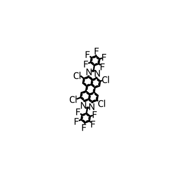 Fc1c(F)c(F)c(-c2nc3c(Cl)cc4c5cc(Cl)c6nc(-c7c(F)c(F)c(F)c(F)c7F)nc7c(Cl)cc(c8cc(Cl)c(n2)c3c48)c5c67)c(F)c1F